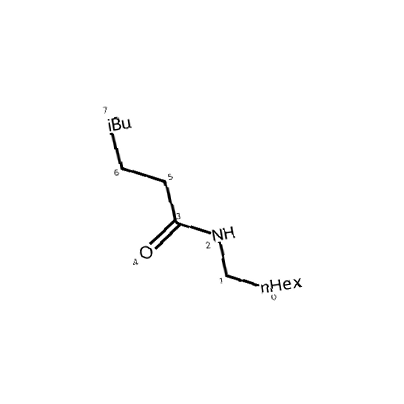 CCCCCCCNC(=O)CCC(C)CC